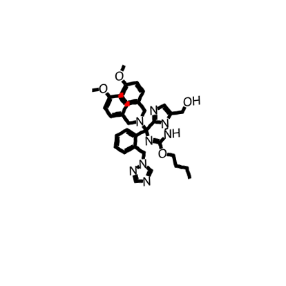 CCCCOC1=NC(c2ccccc2Cn2cncn2)(N(Cc2ccc(OC)cc2)Cc2ccc(OC)cc2)c2ncc(CO)n2N1